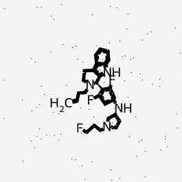 C=CCCN1CCc2c([nH]c3ccccc23)[C@H]1c1c(F)cc(N[C@H]2CCN(CCCF)C2)cc1F